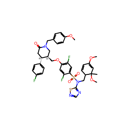 COC1=CC(C)(OC)C(CN(c2ncns2)S(=O)(=O)c2cc(F)c(OC[C@@H]3CN(Cc4ccc(OC)cc4)C(=O)C[C@H]3c3ccc(F)cc3)cc2F)C=C1